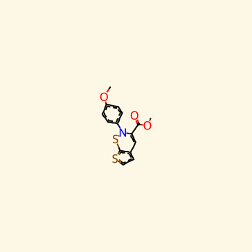 COC(=O)C1=Cc2ccsc2SN1c1ccc(OC)cc1